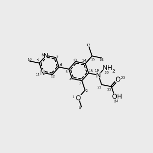 COCc1cc(-c2cnc(C)nc2)cc(C(C)C)c1N(N)CC(=O)O